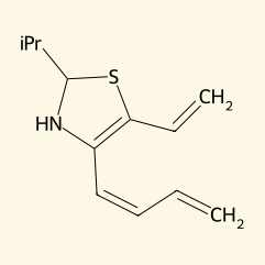 C=C/C=C\C1=C(C=C)SC(C(C)C)N1